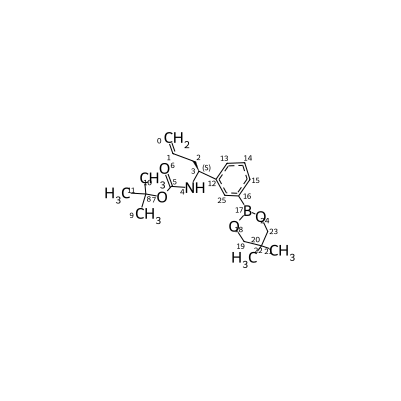 C=CC[C@H](NC(=O)OC(C)(C)C)c1cccc(B2OCC(C)(C)CO2)c1